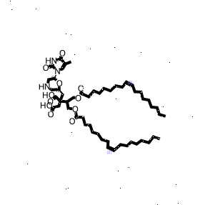 CCCCCCCC/C=C\CCCCCCCC(=O)OCC(COC(=O)CCCCCCC/C=C\CCCCCCCC)C(CC(=O)O)(C[C@H]1CNC[C@H](n2cc(C)c(=O)[nH]c2=O)O1)C(=O)O